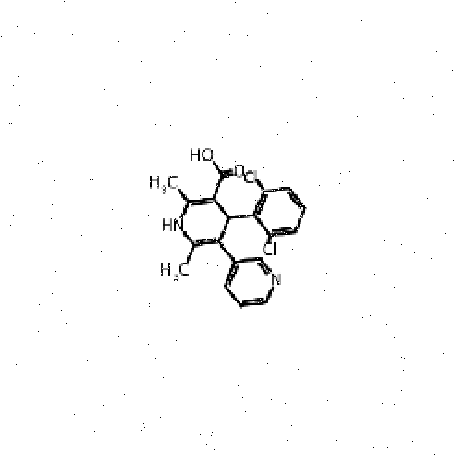 CC1=C(C(=O)O)C(c2c(Cl)cccc2Cl)C(c2cccnc2)=C(C)N1